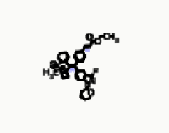 CCOC(=O)/C=C/c1ccc(/C(=C(\c2ccccc2S(C)(=O)=O)C2CCC2)c2ccc3c(c2)c(F)nn3C2CCCCO2)cc1